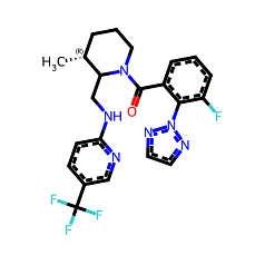 C[C@@H]1CCCN(C(=O)c2cccc(F)c2-n2nccn2)C1CNc1ccc(C(F)(F)F)cn1